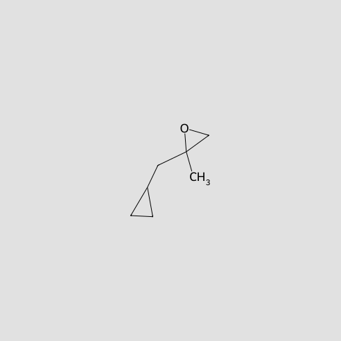 CC1(CC2CC2)CO1